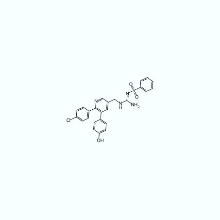 N/C(=N\S(=O)(=O)c1ccccc1)NCc1cnc(-c2ccc(Cl)cc2)c(-c2ccc(O)cc2)c1